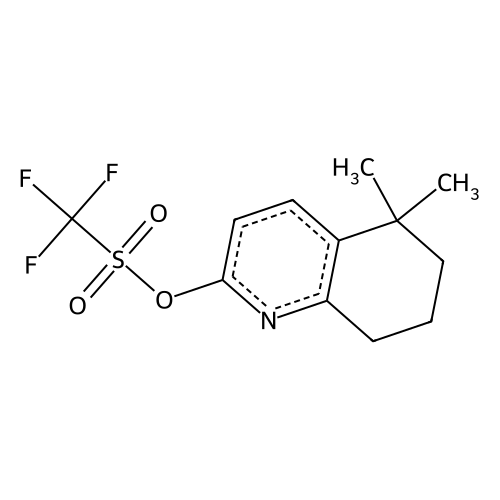 CC1(C)CCCc2nc(OS(=O)(=O)C(F)(F)F)ccc21